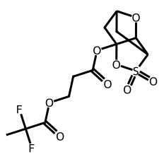 CC(F)(F)C(=O)OCCC(=O)OC12CC3CC(C1O3)S(=O)(=O)O2